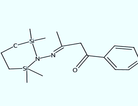 CC(CC(=O)c1ccccc1)=NN1[Si](C)(C)CCC[Si]1(C)C